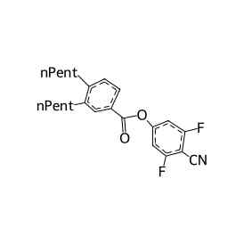 CCCCCc1ccc(C(=O)Oc2cc(F)c(C#N)c(F)c2)cc1CCCCC